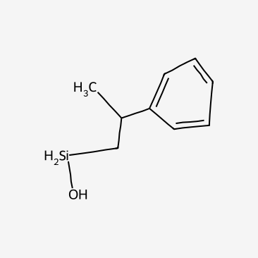 CC(C[SiH2]O)c1ccccc1